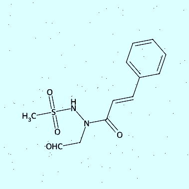 CS(=O)(=O)NN(C[C]=O)C(=O)C=Cc1ccccc1